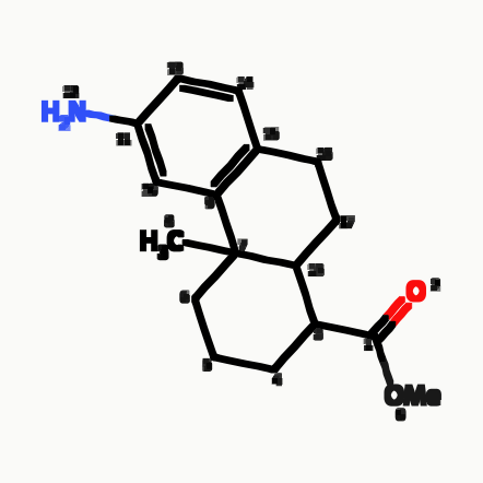 COC(=O)C1CCCC2(C)c3cc(N)ccc3CCC12